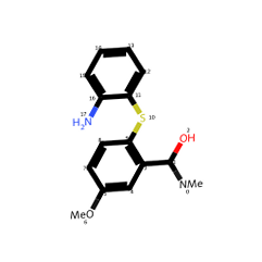 CNC(O)c1cc(OC)ccc1Sc1ccccc1N